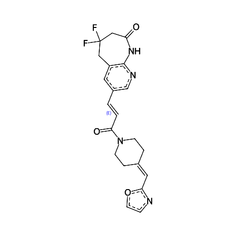 O=C1CC(F)(F)Cc2cc(/C=C/C(=O)N3CCC(=Cc4ncco4)CC3)cnc2N1